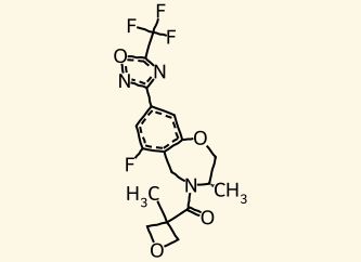 C[C@H]1COc2cc(-c3noc(C(F)(F)F)n3)cc(F)c2CN1C(=O)C1(C)COC1